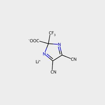 N#CC1=NC(C(=O)[O-])(C(F)(F)F)N=C1C#N.[Li+]